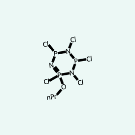 CCCOP1(Cl)=NP(Cl)N(Cl)P(Cl)N1Cl